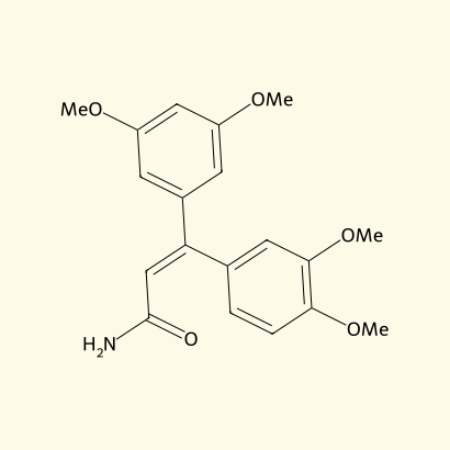 COc1cc(OC)cc(C(=CC(N)=O)c2ccc(OC)c(OC)c2)c1